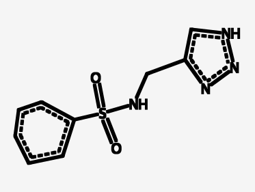 O=S(=O)(NCc1c[nH]nn1)c1ccccc1